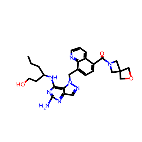 CCCC(CCO)Nc1nc(N)nc2cnn(Cc3ccc(C(=O)N4CC5(COC5)C4)c4cccnc34)c12